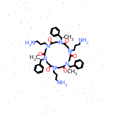 C[C@@H](c1ccccc1)N1CC(=O)N(CCCN)CC(=O)N([C@@H](C)c2ccccc2)CC(=O)N(CCCN)CC(=O)N([C@@H](C)c2ccccc2)CC(=O)N(CCCN)CC1=O